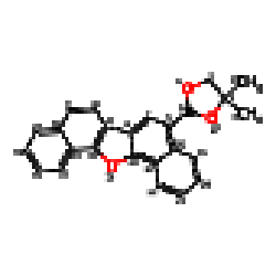 CC1(C)COB(c2cc3c4ccc5ccccc5c4oc3c3ccccc23)O1